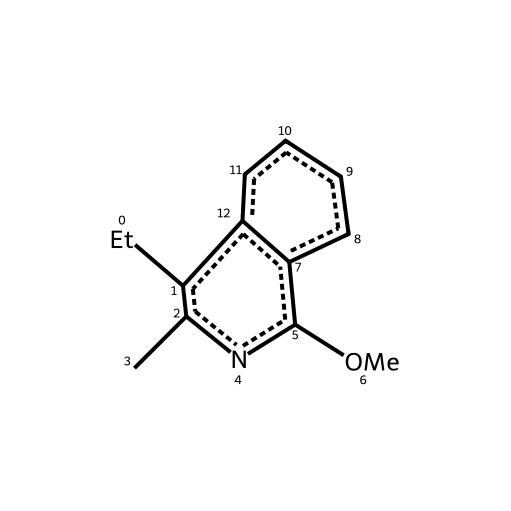 CCc1c(C)nc(OC)c2ccccc12